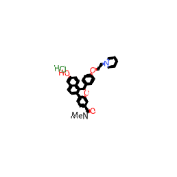 CNC(=O)c1ccc2c(c1)OC(c1ccc(OCCN3CCCCC3)cc1)c1c-2ccc2cc(O)ccc12.Cl